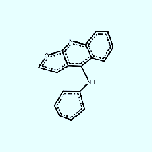 c1ccc(Nc2c3ccccc3nc3occc23)cc1